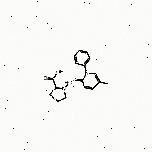 Cc1ccc(=O)n(-c2ccccc2)c1.O=C(O)C1CCCN1O